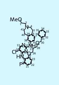 COCCN1CCc2ccc(Nc3ncc(Cl)c(Nc4c(F)cccc4OCCCOCc4ccccc4)n3)cc2CC1